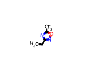 C=Cc1noc(C(F)(F)F)n1